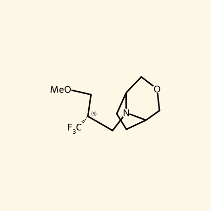 COC[C@H](CN1C2CCC1COC2)C(F)(F)F